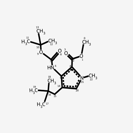 COC(=O)c1c(NC(=O)OC(C)(C)C)c(CC(C)(C)C)cn1C